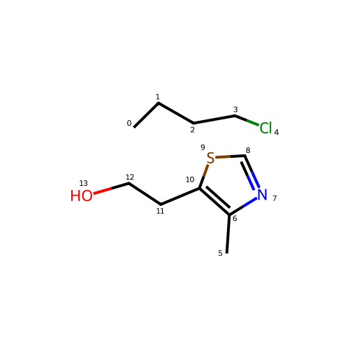 CCCCCl.Cc1ncsc1CCO